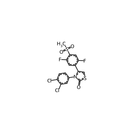 CS(=O)(=O)c1cc(F)c(-c2csc(=O)n2-c2ccc(Cl)c(Cl)c2)cc1F